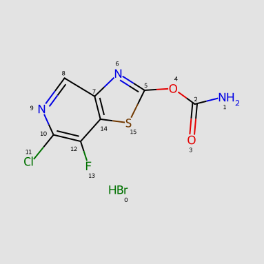 Br.NC(=O)Oc1nc2cnc(Cl)c(F)c2s1